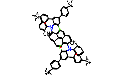 [C-]#[N+]c1ccccc1N(c1c(F)cc(-c2ccc([Si](C)(C)C)cc2)cc1-c1ccc([Si](C)(C)C)cc1)c1ccc2ccc3c(N(c4ccccc4C#N)c4c(F)cc(-c5ccc([Si](C)(C)C)cc5)cc4-c4ccc([Si](C)(C)C)cc4)ccc4ccc1c2c43